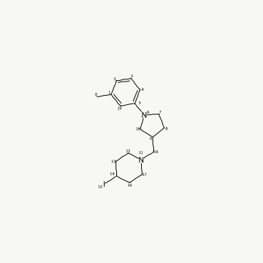 Cc1cccc(N2CCC(CN3CCC(I)CC3)C2)c1